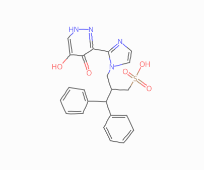 O=c1c(O)c[nH]nc1-c1nccn1CC(CS(=O)(=O)O)C(c1ccccc1)c1ccccc1